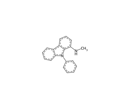 CNc1cccc2c3ccccc3n(-c3ccccc3)c12